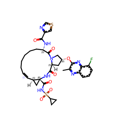 Cc1nc2cccc(F)c2nc1O[C@@H]1C[C@H]2C(=O)N[C@]3(C(=O)NS(=O)(=O)C4CC4)C[C@H]3/C=C\CCCCC[C@H](NC(=O)c3cscn3)C(=O)N2C1